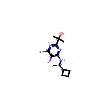 C[C@@H](Nc1nc(C(C)(C)O)nc(I)c1I)C1CCC1